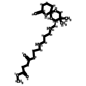 COC(=O)CCC(=O)SCCNCCCNC[C@@H]1OC2(CCCC(=O)O2)OCC1(C)C